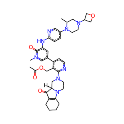 CC(=O)OCc1c(-c2cc(Nc3ccc(N4CCN(C5COC5)CC4C)cn3)c(=O)n(C)c2)ccnc1N1CCN2C3=C(CCCC3)C(=O)[C@@H]2C1